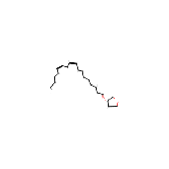 BCCCC/C=C\C/C=C\CCCCCCCCO[C@@H]1CCOC1